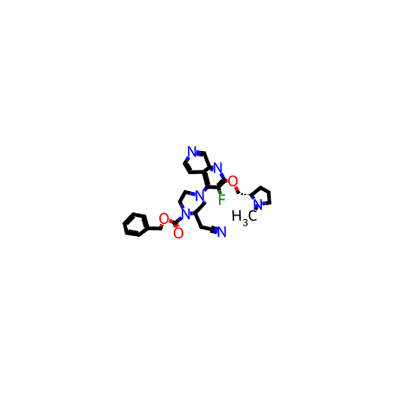 CN1CCC[C@H]1COc1nc2cnccc2c(N2CCN(C(=O)OCc3ccccc3)C(CC#N)C2)c1F